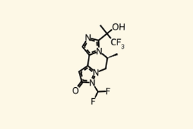 C[C@H]1Cn2c(cc(=O)n2C(F)F)-c2cnc(C(C)(O)C(F)(F)F)n21